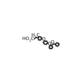 Cc1cc(Oc2cccc(Oc3ccccc3C(=O)c3ccccc3)c2)ccc1CCC(=O)O